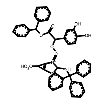 O=C(O)C1C2=C1[N+](=NOC(C(=O)OC(c1ccccc1)c1ccccc1)c1ccc(O)c(O)c1)C(NC(c1ccccc1)(c1ccccc1)c1ccccc1)S2